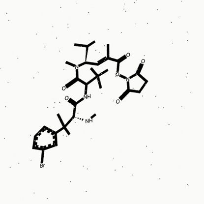 CN[C@@H](C(=O)NC(C(=O)N(C)[C@H](/C=C(\C)C(=O)ON1C(=O)CCC1=O)C(C)C)C(C)(C)C)C(C)(C)c1cccc(Br)c1